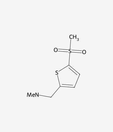 CNCc1ccc(S(C)(=O)=O)s1